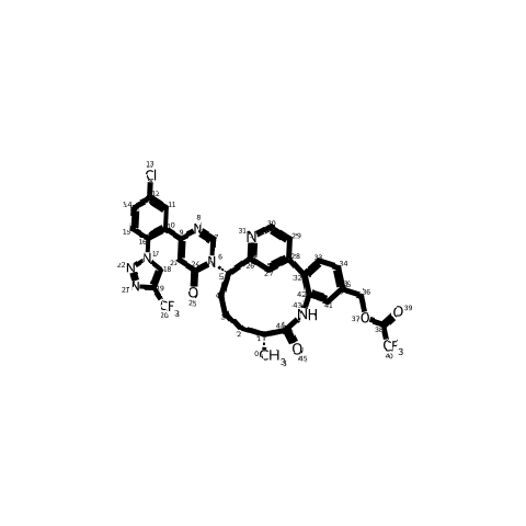 C[C@@H]1CCC[C@H](n2cnc(-c3cc(Cl)ccc3-n3cc(C(F)(F)F)nn3)cc2=O)c2cc(ccn2)-c2ccc(COC(=O)C(F)(F)F)cc2NC1=O